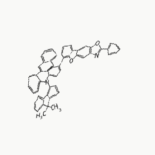 CC1(C)c2ccccc2-c2c(N(c3ccc(-c4cccc5c4oc4cc6nc(-c7ccccc7)oc6cc45)cc3)c3ccccc3-c3ccc4ccccc4c3)cccc21